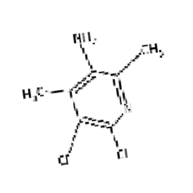 Cc1nc(Cl)c(Cl)c(C)c1N